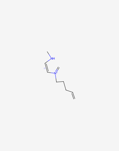 C=CCCC[N+](=C)/C=C\NC